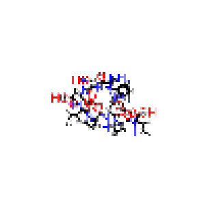 CC[C@H](C)[C@H](NC(=O)[C@@H]1CCCN1C(=O)[C@H](CC(N)=O)NC(=O)[C@@H]1CCCN1C(=O)[C@@H](NC(=O)[C@H](CC(=O)O)NC(=O)[C@H](CO)NC(=O)[C@@H](N)Cc1ccccc1)[C@@H](C)CC)C(=O)O